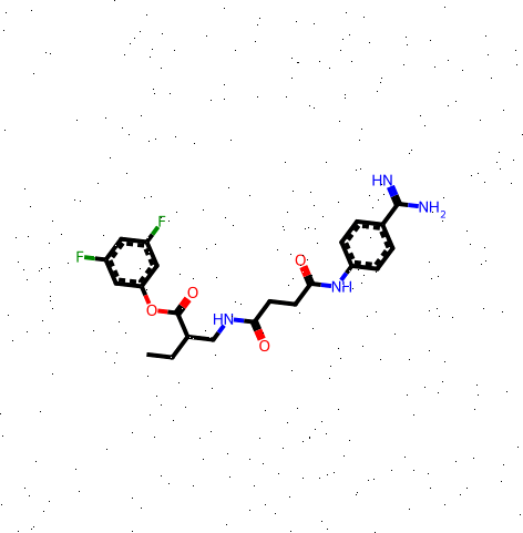 CCC(CNC(=O)CCC(=O)Nc1ccc(C(=N)N)cc1)C(=O)Oc1cc(F)cc(F)c1